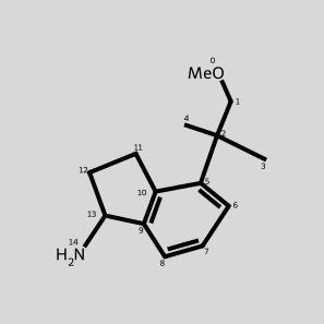 COCC(C)(C)c1cccc2c1CCC2N